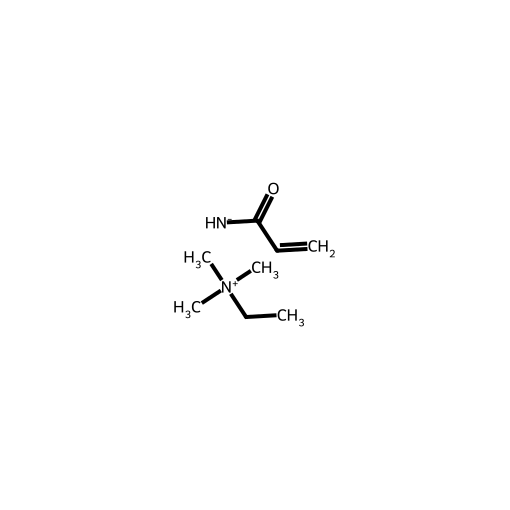 C=CC([NH-])=O.CC[N+](C)(C)C